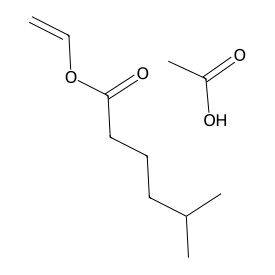 C=COC(=O)CCCC(C)C.CC(=O)O